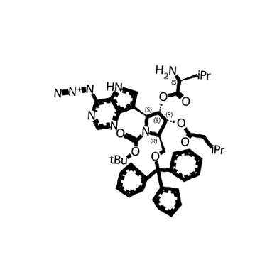 CC(C)CC(=O)O[C@H]1[C@@H](OC(=O)[C@@H](N)C(C)C)[C@H](c2c[nH]c3c(N=[N+]=[N-])ncnc23)N(C(=O)OC(C)(C)C)[C@@H]1COC(c1ccccc1)(c1ccccc1)c1ccccc1